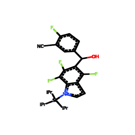 CC(C)[Si](C(C)C)(C(C)C)n1ccc2c(F)c(C(O)c3ccc(F)c(C#N)c3)c(F)c(F)c21